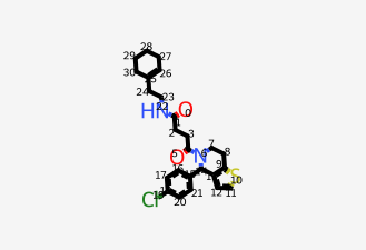 O=C(CCC(=O)N1CCc2sccc2C1c1ccc(Cl)cc1)NCCC1=CCCCC1